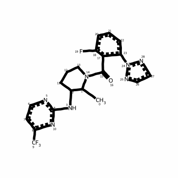 CC1C(Nc2nccc(C(F)(F)F)n2)CCCN1C(=O)c1c(F)cccc1-n1nccn1